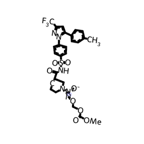 COC(=O)OCO/N=[N+](\[O-])N1CCCC(C(=O)NS(=O)(=O)c2ccc(-n3nc(C(F)(F)F)cc3-c3ccc(C)cc3)cc2)C1